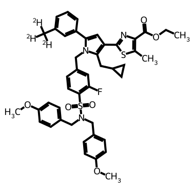 [2H]C([2H])([2H])c1cccc(-c2cc(-c3nc(C(=O)OCC)c(C)s3)c(CC3CC3)n2Cc2ccc(S(=O)(=O)N(Cc3ccc(OC)cc3)Cc3ccc(OC)cc3)c(F)c2)c1